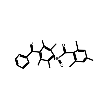 Cc1cc(C)c(C(=O)[PH](=O)c2c(C)c(C)c(C(=O)c3ccccc3)c(C)c2C)c(C)c1